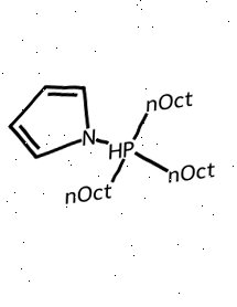 CCCCCCCC[PH](CCCCCCCC)(CCCCCCCC)n1cccc1